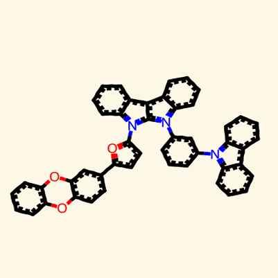 c1cc(-n2c3ccccc3c3ccccc32)cc(-n2c3ccccc3c3c4ccccc4n(-c4ccc(-c5ccc6c(c5)Oc5ccccc5O6)o4)c32)c1